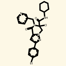 CCc1ccc(-c2cc3n(n2)CC(Cl)(C(=O)NC2CCCCC2)N(Cc2cccnc2)C3=O)cc1